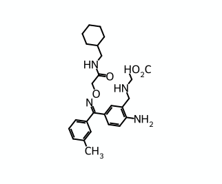 Cc1cccc(/C(=N/OCC(=O)NCC2CCCCC2)c2ccc(N)c(CNCC(=O)O)c2)c1